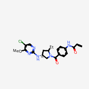 C=CC(=O)Nc1ccc(C(=O)N2C[C@H](Nc3ncc(Cl)c(OC)n3)CC2CC)cc1